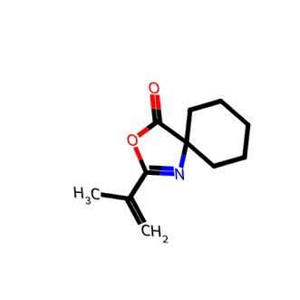 C=C(C)C1=NC2(CCCCC2)C(=O)O1